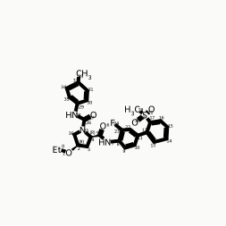 CCO[C@@H]1C[C@H](C(=O)Nc2ccc(-c3ccccc3S(C)(=O)=O)cc2F)N(C(=O)Nc2ccc(C)cc2)C1